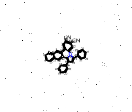 N#Cc1cc2c3cc4ccccc4cc3c3c(-c4ccccc4)cc(-c4ccccc4)n3c2cc1C#N